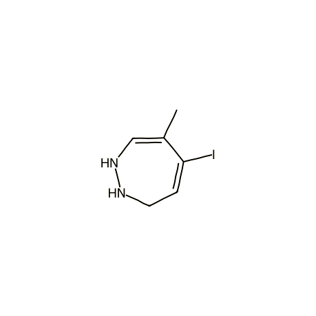 CC1=CNNCC=C1I